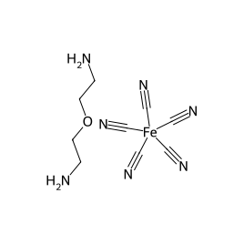 N#[C][Fe]([C]#N)([C]#N)([C]#N)[C]#N.NCCOCCN